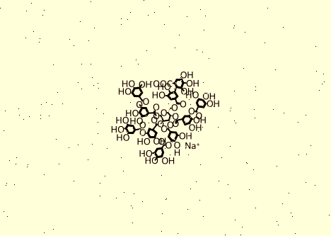 O=C(OC[C@H]1O[C@H](OC(=O)c2cc(O)c(O)c(OC(=O)c3cc(O)c(O)c(O)c3)c2)[C@H](OC(=O)c2cc(O)c(O)c(OC(=O)c3cc(O)c(O)c(O)c3)c2)[C@@H](OC(=O)c2cc(O)c(O)c(OC(=O)c3cc(O)c(O)c(O)c3)c2)[C@@H]1OC(=O)c1cc(O)c(O)c(OC(=O)c2cc(O)c(O)c(O)c2)c1)c1cc(O)c(O)c(-c2c(C(=O)[O-])cc(O)c(O)c2O)c1.[Na+]